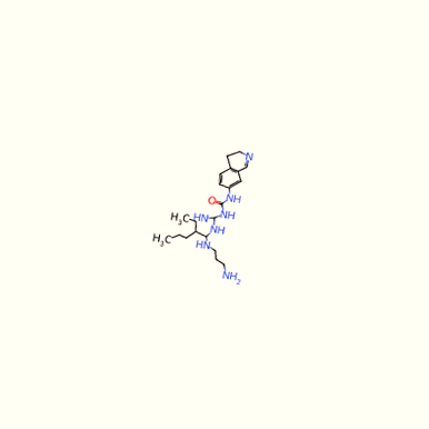 CCCC1C(C)NC(NC(=O)Nc2ccc3c(c2)C=NCC3)NC1NCCCN